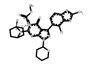 Cc1nc2ccc(-c3nn(C4CCCCO4)c4nc(N5C6CC[C@@H]5[C@H](NC(=O)OC(C)(C)C)C6)n(C)c(=O)c34)c(Cl)c2s1